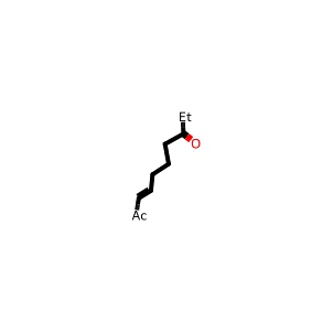 CCC(=O)CCCC=CC(C)=O